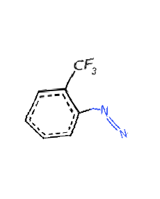 [N]=Nc1ccccc1C(F)(F)F